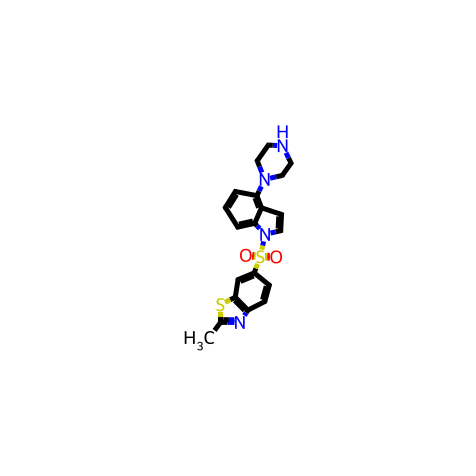 Cc1nc2ccc(S(=O)(=O)n3ccc4c(N5CCNCC5)cccc43)cc2s1